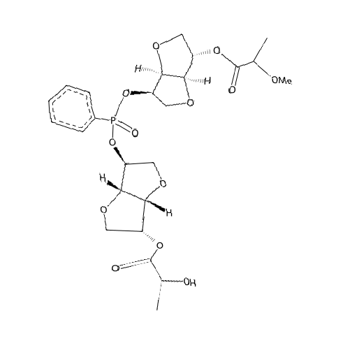 COC(C)C(=O)O[C@H]1CO[C@H]2[C@@H]1OC[C@H]2OP(=O)(O[C@H]1CO[C@H]2[C@@H]1OC[C@H]2OC(=O)C(C)O)c1ccccc1